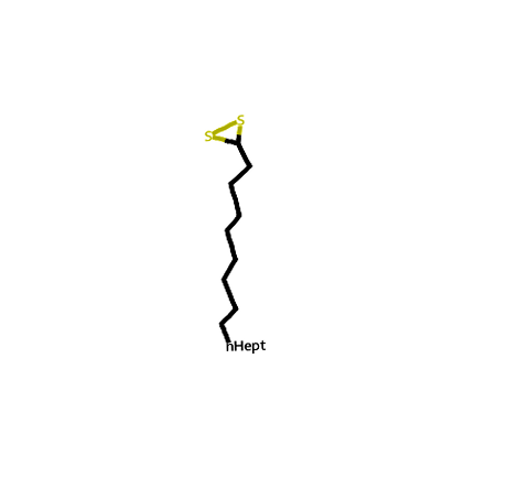 CCCCCCCCCCCCCCCC1SS1